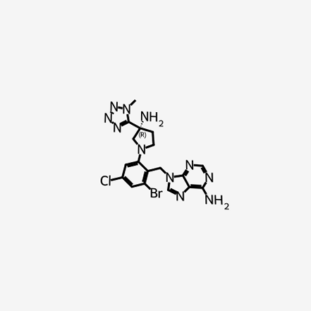 Cn1nnnc1[C@@]1(N)CCN(c2cc(Cl)cc(Br)c2Cn2cnc3c(N)ncnc32)C1